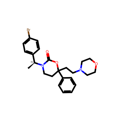 C[C@@H](c1ccc(Br)cc1)N1CCC(CCN2CCOCC2)(c2ccccc2)OC1=O